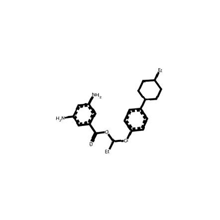 CCC1CCC(c2ccc(OC(CC)OC(=O)c3cc(N)cc(N)c3)cc2)CC1